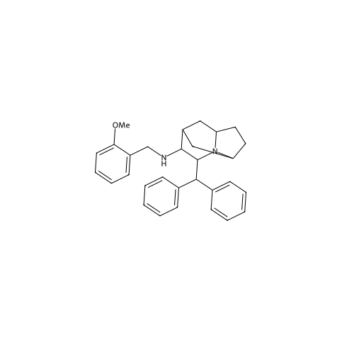 COc1ccccc1CNC1C2CC3CCC(C2)N3C1C(c1ccccc1)c1ccccc1